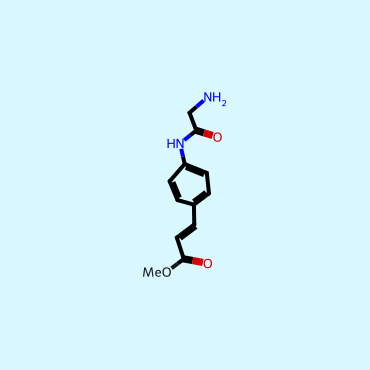 COC(=O)C=Cc1ccc(NC(=O)CN)cc1